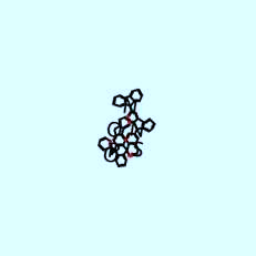 O=P1(c2ccccc2)c2ccccc2C2(c3ccccc3Sc3cc(-n4c5ccccc5c5cc(-n6c7ccccc7c7ccccc76)ccc54)ccc32)c2cc3c(cc21)oc1ccccc13